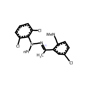 CCCN(/N=C(\C)c1cc(Cl)ccc1NC)c1c(Cl)cccc1Cl